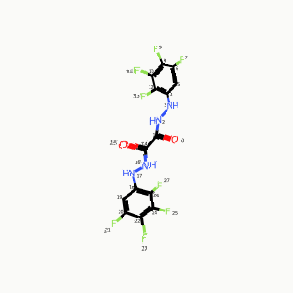 O=C(NNc1cc(F)c(F)c(F)c1F)C(=O)NNc1cc(F)c(F)c(F)c1F